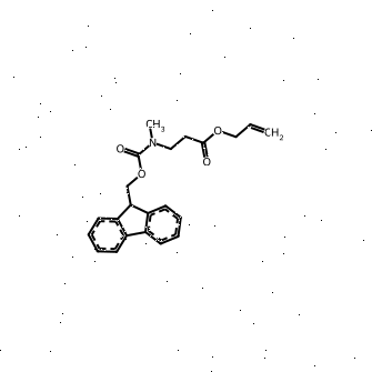 C=CCOC(=O)CCN(C)C(=O)OCC1c2ccccc2-c2ccccc21